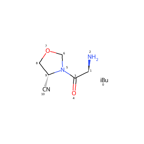 CC[C@H](C)[C@H](N)C(=O)N1COC[C@H]1C#N